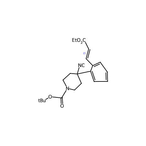 [C-]#[N+]C1(c2ccccc2/C=C/C(=O)OCC)CCN(C(=O)OC(C)(C)C)CC1